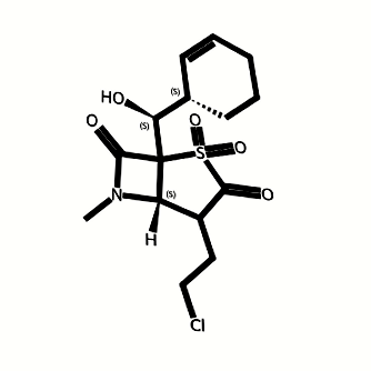 CN1C(=O)C2([C@@H](O)[C@@H]3C=CCCC3)[C@@H]1C(CCCl)C(=O)S2(=O)=O